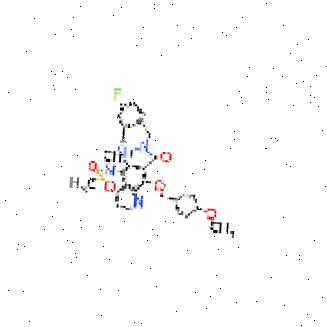 COc1ccc(COc2c3c(c(N(C)S(C)(=O)=O)c4cccnc24)CN(Cc2ccc(F)cc2C#N)C3=O)cc1